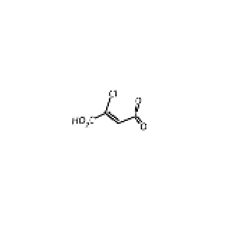 O=C(O)C(Cl)=CI(=O)=O